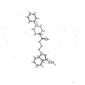 Cn1cc(CCCC(=O)N2CCC(c3ccccc3)CC2)c2ccccc21